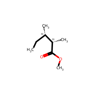 CC[C@H](C)[C@H](C)C(=O)OC